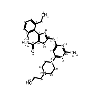 CCc1cccc(Cl)c1-c1nc(Nc2cc(N3CCN(CCO)CC3)nc(C)n2)sc1C(N)=O